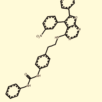 O=C(Nc1ccccc1)Nc1ccc(CCNc2ncnc3oc(-c4ccccc4)c(-c4cccc([N+](=O)[O-])c4)c23)cc1